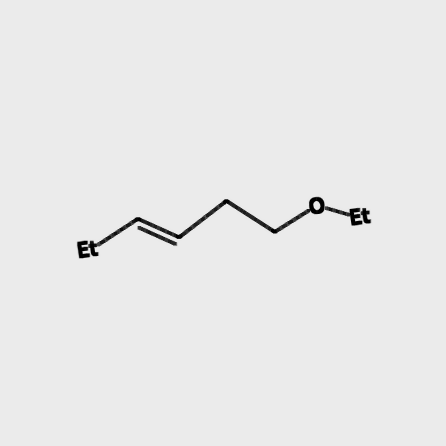 CC/C=C/CCOCC